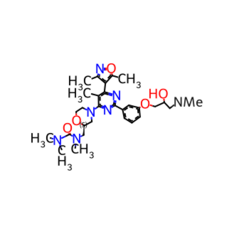 CNCC(O)COc1cccc(-c2nc(-c3c(C)noc3C)c(C)c(N3CCO[C@H](CN(C)C(=O)N(C)C)C3)n2)c1